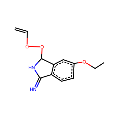 C=COOC1NC(=N)c2ccc(OCC)cc21